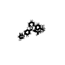 C=C(C)C#C[C@H](c1ccc(-n2cccn2)cc1)N1CC[CH]C[C@H]1c1ccc(C(F)(F)F)cc1